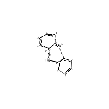 [c]1[c]c2nc3ccccc3nc2cc1